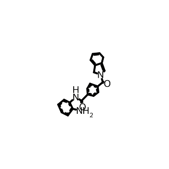 Nc1ccccc1NC(=O)c1ccc(C(=O)N2C=C3CC=CC=C3C2)cc1